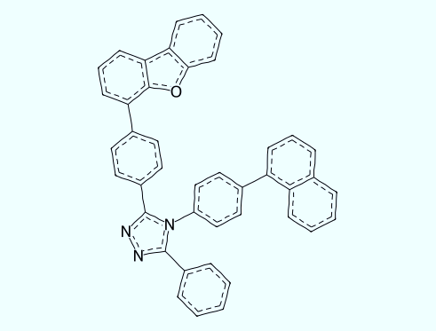 c1ccc(-c2nnc(-c3ccc(-c4cccc5c4oc4ccccc45)cc3)n2-c2ccc(-c3cccc4ccccc34)cc2)cc1